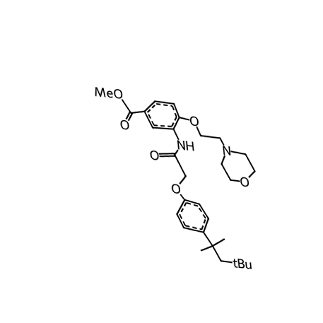 COC(=O)c1ccc(OCCN2CCOCC2)c(NC(=O)COc2ccc(C(C)(C)CC(C)(C)C)cc2)c1